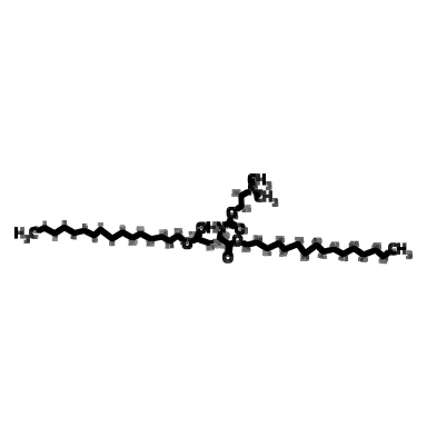 CCCCCCCCCCCCCCCCOC(=O)C[C@H](NC(=O)OCCN(C)C)C(=O)OCCCCCCCCCCCCCCCC